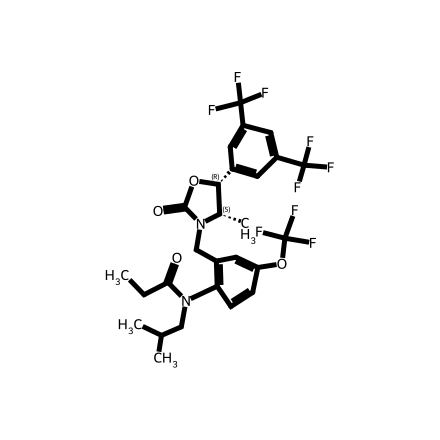 CCC(=O)N(CC(C)C)c1ccc(OC(F)(F)F)cc1CN1C(=O)O[C@H](c2cc(C(F)(F)F)cc(C(F)(F)F)c2)[C@@H]1C